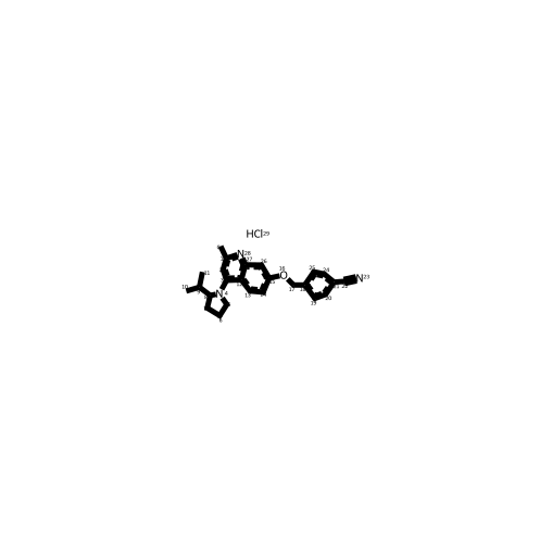 Cc1cc(N2CCCC2C(C)C)c2ccc(OCc3ccc(C#N)cc3)cc2n1.Cl